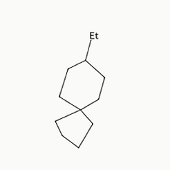 CCC1CCC2(CCCC2)CC1